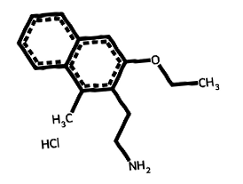 CCOc1cc2ccccc2c(C)c1CCN.Cl